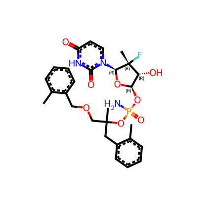 Cc1ccccc1COCC(C)(Cc1ccccc1C)OP(N)(=O)O[C@H]1O[C@@H](n2ccc(=O)[nH]c2=O)[C@](C)(F)[C@@H]1O